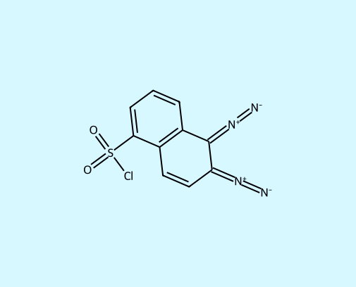 [N-]=[N+]=C1C=Cc2c(cccc2S(=O)(=O)Cl)C1=[N+]=[N-]